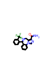 NC(=O)c1ncn2c1CN=C(c1ccccc1C(F)(F)F)c1ccccc1-2